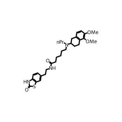 CCCN(CCCCCC(=O)NCCc1ccc2[nH]c(=O)sc2c1)C1CCc2c(ccc(OC)c2OC)C1